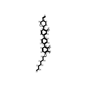 C=CC1CCC(c2ccc(-c3ccc(-c4ccc(OCCCCCCC)c(F)c4F)cc3)cc2F)OC1